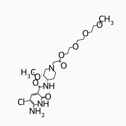 COCCOCCOCCOC(=O)CN1CC[C@H](NC(=O)c2cc(Cl)c(N)[nH]c2=O)[C@H](OC)C1